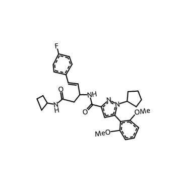 COc1cccc(OC)c1-c1cc(C(=O)NC(C=Cc2ccc(F)cc2)CC(=O)NC2CCC2)nn1C1CCCC1